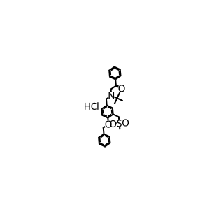 CC(C)(C)N(CC(=O)c1ccccc1)Cc1ccc(OCc2ccccc2)c(CS(C)(=O)=O)c1.Cl